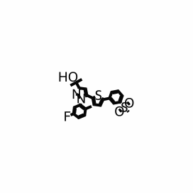 Cc1ccc(F)cc1-n1nc(C(C)(C)O)cc1-c1ccc(-c2cccc(S(C)(=O)=O)c2)s1